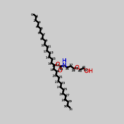 CCCCCCCCCCCCCCCCCC(CCCCCCCCCCCCCC)OC(=O)NCCCOCCO